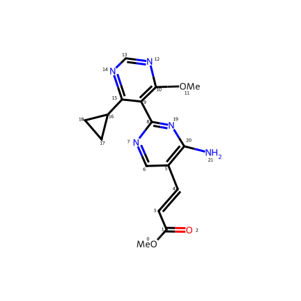 COC(=O)/C=C/c1cnc(-c2c(OC)ncnc2C2CC2)nc1N